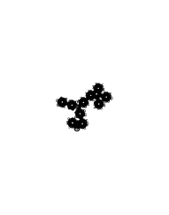 c1ccc(-c2ccc(N(c3ccc(-c4ccc5c(c4)c(-c4ccccc4)c(-c4ccccc4)c4ccccc45)cc3)c3ccc(-c4cccc5oc6ccccc6c45)cc3)cc2)cc1